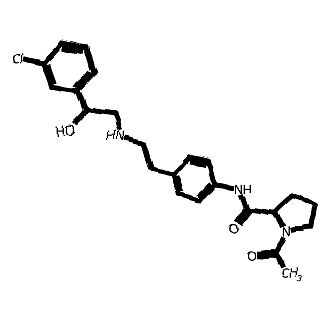 CC(=O)N1CCCC1C(=O)Nc1ccc(CCNCC(O)c2cccc(Cl)c2)cc1